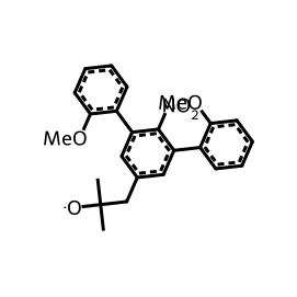 COc1ccccc1-c1cc(CC(C)(C)[O])cc(-c2ccccc2OC)c1[N+](=O)[O-]